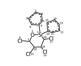 ClC1O[Si](c2ccccc2)(c2ccccc2)C(Cl)C(Cl)C1Cl